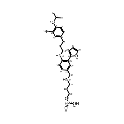 CC(C)Oc1ccc(CCCNc2ccc(CNCCCO[PH](=O)O)cc2-c2ccco2)cc1F